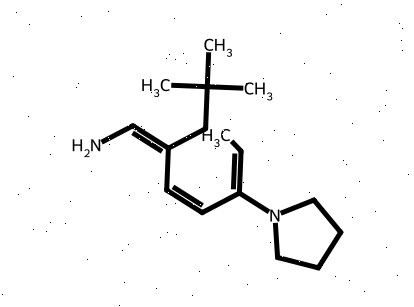 C\C=C(/C=C\C(=C/N)CC(C)(C)C)N1CCCC1